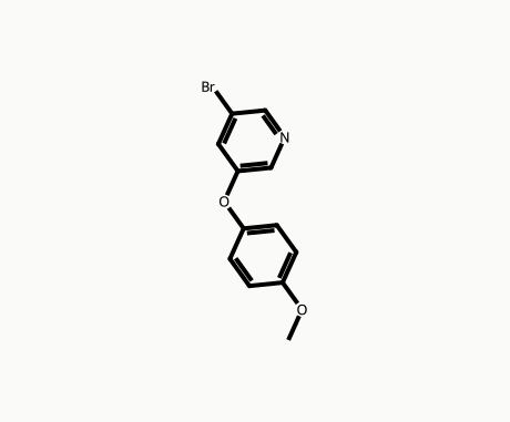 COc1ccc(Oc2cncc(Br)c2)cc1